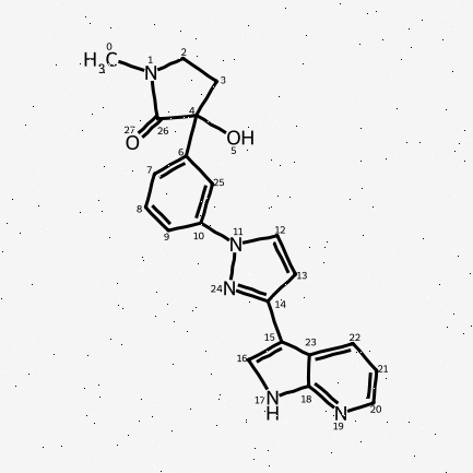 CN1CCC(O)(c2cccc(-n3ccc(-c4c[nH]c5ncccc45)n3)c2)C1=O